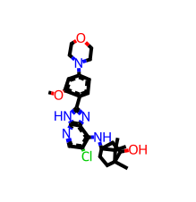 COc1cc(N2CCOCC2)ccc1-c1nc2c(NC34CCC(C)(C(O)C3)C4(C)C)c(Cl)cnc2[nH]1